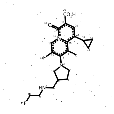 Cc1c(N2CCC(CNCCF)C2)c(F)cn2c(=O)c(C(=O)O)cc(C3CC3)c12